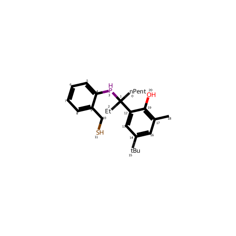 CCCCCC(CC)(Pc1ccccc1CS)c1cc(C(C)(C)C)cc(C)c1O